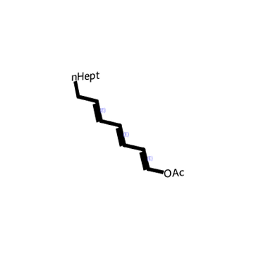 CCCCCCCC/C=C/C=C/C=C/OC(C)=O